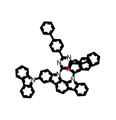 c1ccc(-c2ccc(-c3nc(-c4ccccc4)nc(-n4c5ccc(-n6c7ccccc7c7ccccc76)cc5c5ccc6c7ccccc7n(-c7cccc(-c8ccccc8)c7)c6c54)n3)cc2)cc1